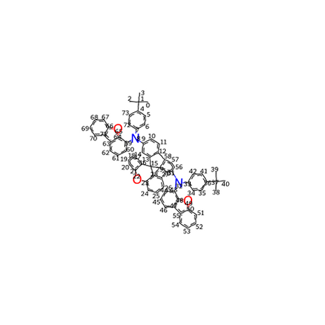 CC(C)(C)c1ccc(N(c2ccc3c(c2)C2(c4ccccc4Oc4ccccc42)c2cc(N(c4ccc(C(C)(C)C)cc4)c4cccc5c4oc4ccccc45)ccc2-3)c2cccc3c2oc2ccccc23)cc1